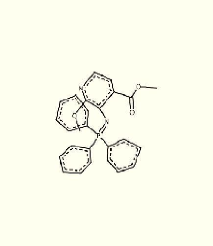 COC(=O)c1ccnc(OC)c1N=P(c1ccccc1)(c1ccccc1)c1ccccc1